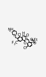 CCS(=O)(=O)c1ccc(Cl)cc1Cn1c(=O)[nH]c2c(Cl)c(CN3CCC[C@@H](CN)C3)c(C(F)(F)F)cc2c1=O